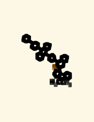 CC1(C)c2ccccc2-c2c1ccc1sc3c(-c4ccc(-c5c6ccccc6c(-c6ccc(-c7ccccc7)cc6)c6ccccc56)cc4)c4ccccc4cc3c21